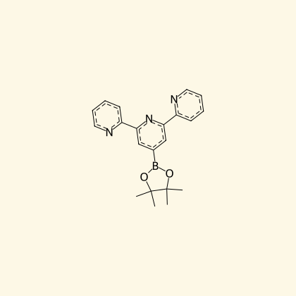 CC1(C)OB(c2cc(-c3ccccn3)nc(-c3ccccn3)c2)OC1(C)C